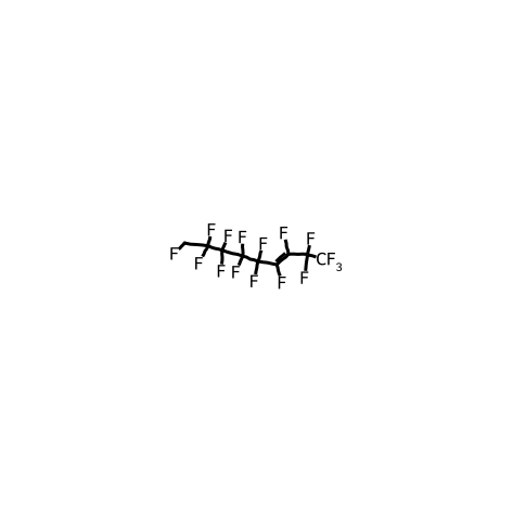 FCC(F)(F)C(F)(F)C(F)(F)C(F)(F)/C(F)=C(\F)C(F)(F)C(F)(F)F